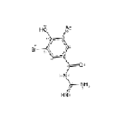 CC(=O)c1cc(C(=O)NC(=N)N)cc(Br)c1O